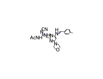 CC(=O)N/C(=N/C#N)NCc1nc(N/C=C/c2ccc(C)cc2)cc(N2CCOCC2)n1